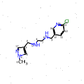 Cn1cc(CNCCNCc2ccc(Cl)nc2)cn1